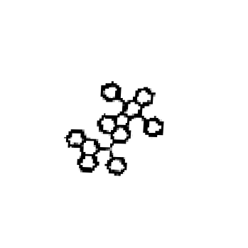 c1ccc(-c2c3c(c(-c4ccccc4)c4ccccc24)-c2ccc(N(c4ccccc4)c4cc5cccnc5c5ccccc45)c4cccc-3c24)cc1